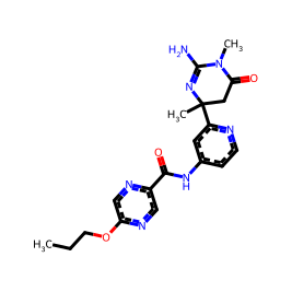 CCCOc1cnc(C(=O)Nc2ccnc(C3(C)CC(=O)N(C)C(N)=N3)c2)cn1